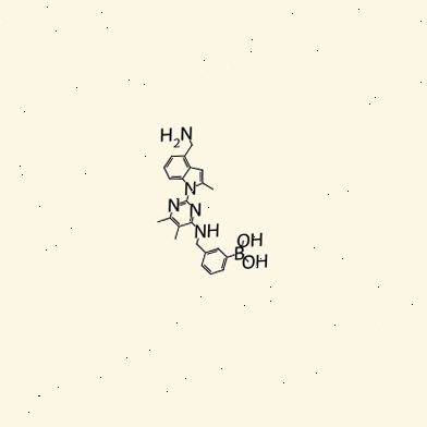 Cc1nc(-n2c(C)cc3c(CN)cccc32)nc(NCc2cccc(B(O)O)c2)c1C